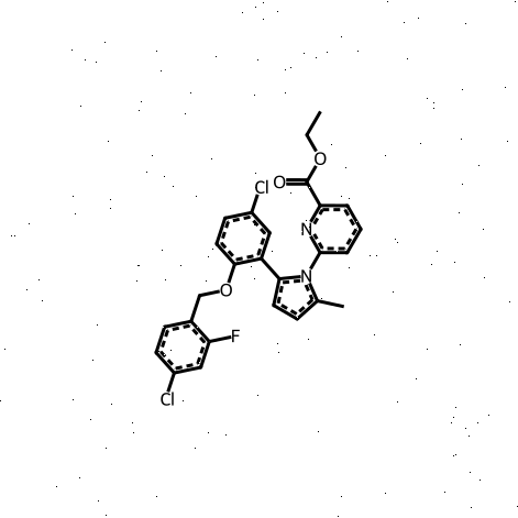 CCOC(=O)c1cccc(-n2c(C)ccc2-c2cc(Cl)ccc2OCc2ccc(Cl)cc2F)n1